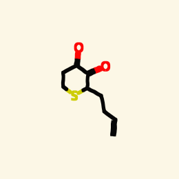 C=CCCC1SCCC(=O)C1=O